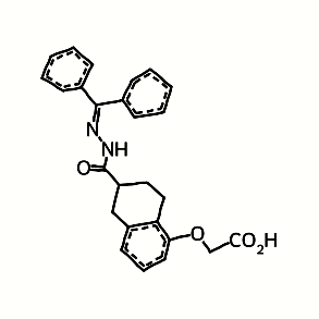 O=C(O)COc1cccc2c1CCC(C(=O)NN=C(c1ccccc1)c1ccccc1)C2